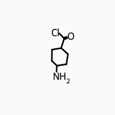 NC1CCC(C(=O)Cl)CC1